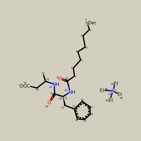 CCCCCCCCCCCCCCCCCC(=O)N[C@@H](Cc1ccccc1)C(=O)NC(C)CC(=O)[O-].CC[N+](CC)(CC)CC